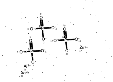 O=P([O-])([O-])[O-].O=P([O-])([O-])[O-].O=P([O-])([O-])[O-].[Al+3].[Sn+4].[Zn+2]